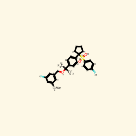 COc1cc(F)cc(COC(c2ccc(C3(S(=O)(=O)c4ccc(F)cc4)CCCC3)cc2)(C(F)(F)F)C(F)(F)F)c1